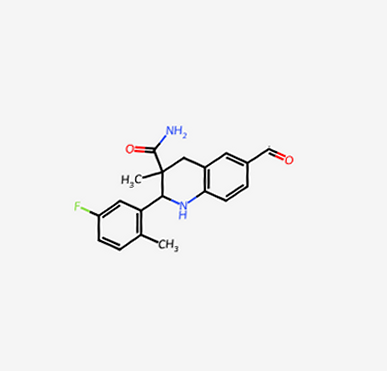 Cc1ccc(F)cc1C1Nc2ccc([C]=O)cc2CC1(C)C(N)=O